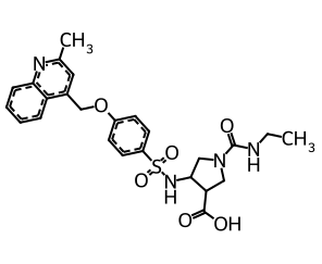 CCNC(=O)N1CC(NS(=O)(=O)c2ccc(OCc3cc(C)nc4ccccc34)cc2)C(C(=O)O)C1